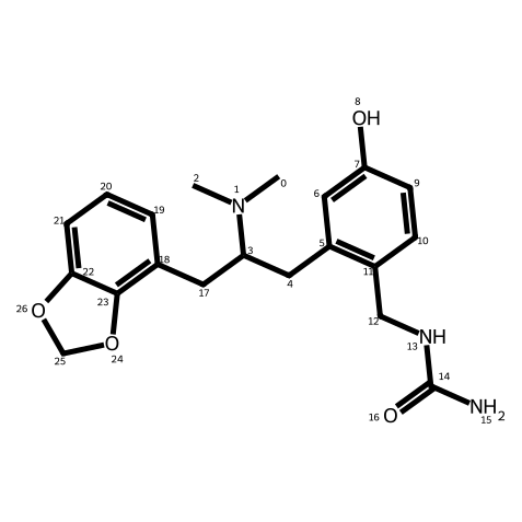 CN(C)C(Cc1cc(O)ccc1CNC(N)=O)Cc1cccc2c1OCO2